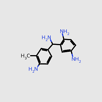 Cc1cc(C(N)c2cc(N)ccc2N)ccc1N